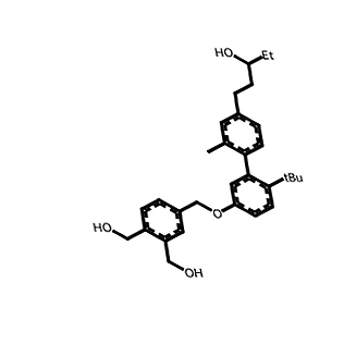 CCC(O)CCc1ccc(-c2cc(OCc3ccc(CO)c(CO)c3)ccc2C(C)(C)C)c(C)c1